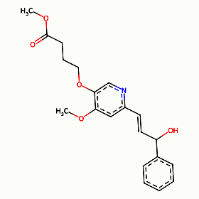 COC(=O)CCCOc1cnc(/C=C/C(O)c2ccccc2)cc1OC